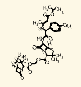 CC(=CC(=O)OC(C)C)NC(C(=O)N[C@@H]1C(=O)N2[C@@H]1SC(C)(C)[C@@H]2C(=O)OCOC(=O)[C@@H]1N2C(=O)C[C@H]2S(=O)(=O)C1(C)C)c1ccc(O)cc1